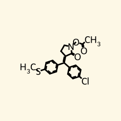 CSc1ccc(C(=C2CCN(OC(C)=O)C2=O)c2ccc(Cl)cc2)cc1